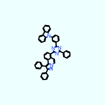 c1ccc(-c2nc(-c3cccc(-n4c5ccccc5c5ccccc54)c3)nc(-c3cccc4c3ccn3nc(-c5ccccc5)c(-c5ccccc5)c43)n2)cc1